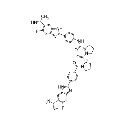 CC(=N)c1cc2[nH]c(-c3ccc(NC(=O)[C@@H]4CCCN4C(=O)[C@@H]4CCCN4C(=O)c4ccc(-c5nc6cc(F)c(C(=N)N)cc6[nH]5)cc4)cc3)nc2cc1F